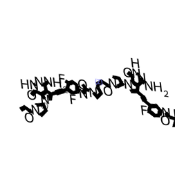 C=CC(=O)N1CC[C@H](n2cc(C#Cc3c(F)cc4oc(N5CCC5/C=C\C(=O)N5CC[C@H](n6cc(C#Cc7cc8nc(C9(F)CC9)oc8cc7F)c7c(N)n[nH]c(=O)c76)C5)nc4c3F)c3c(N)n[nH]c(=O)c32)C1